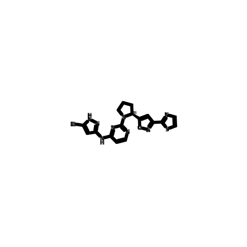 CCc1cc(Nc2ccnc(N3CCC[C@H]3c3cc(-c4nccs4)no3)n2)n[nH]1